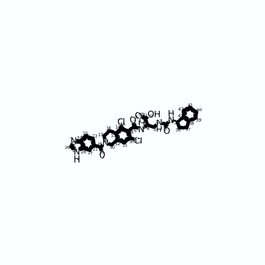 O=C(NCC(NC(=O)c1c(Cl)cc2c(c1Cl)CCN(C(=O)c1ccc3nc[nH]c3c1)C2)C(=O)O)N[C@@H]1CCc2ccccc21